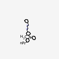 CCCc1ccc(N(c2ccccc2)c2ccc(/C=C/C=C/c3ccccc3)cc2C)cc1